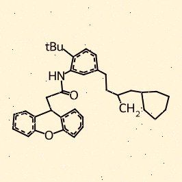 [CH2]C(CCc1ccc(C(C)(C)C)c(NC(=O)CC2c3ccccc3Oc3ccccc32)c1)CC1CCCCC1